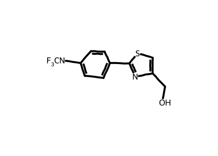 OCc1csc(-c2ccc(NC(F)(F)F)cc2)n1